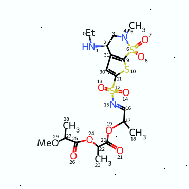 CCN[C@H]1CN(C)S(=O)(=O)c2sc(S(=O)(=O)/N=C/C(C)OC(=O)C(C)OC(=O)C(C)OC)cc21